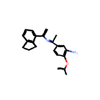 C=C(/N=C(\C)c1ccc(OC(C)C)c(N)c1)c1cccc2c1CCC2